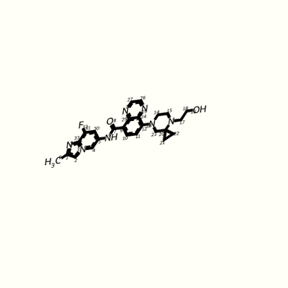 Cc1cn2cc(NC(=O)c3ccc(N4CCN(CCO)C5(CC5)C4)c4nccnc34)cc(F)c2n1